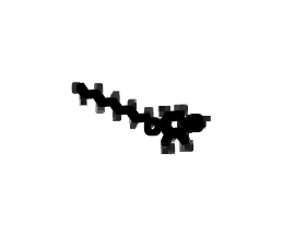 CCCCCCCCCOc1cc[n+]([O-])c(C)c1C